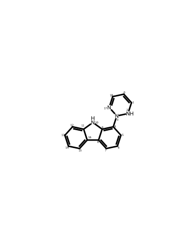 C1=CNN(c2cccc3c2[nH]c2ccccc23)N=C1